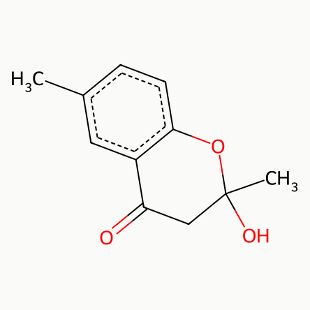 Cc1ccc2c(c1)C(=O)CC(C)(O)O2